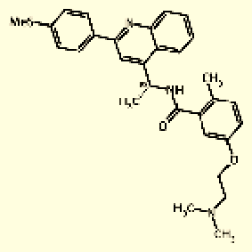 CSc1ccc(-c2cc([C@@H](C)NC(=O)c3cc(OCCN(C)C)ccc3C)c3ccccc3n2)cc1